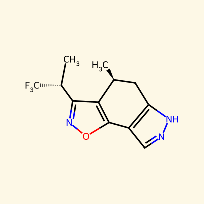 C[C@H](c1noc2c1[C@@H](C)Cc1[nH]ncc1-2)C(F)(F)F